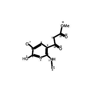 CCNc1nc(O)c(Cl)cc1C(=O)CC(=O)OC